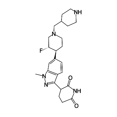 Cn1nc(C2CCC(=O)NC2=O)c2ccc([C@@H]3CCN(CC4CCNCC4)C[C@H]3F)cc21